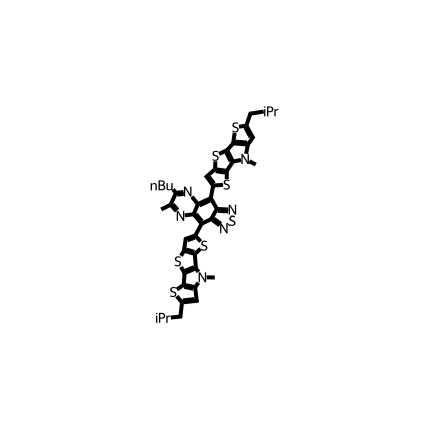 CCCCc1nc2c(-c3cc4sc5c6sc(CC(C)C)cc6n(C)c5c4s3)c3nsnc3c(-c3cc4sc5c6sc(CC(C)C)cc6n(C)c5c4s3)c2nc1C